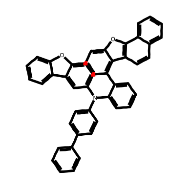 c1ccc(-c2ccc(N(c3ccc4oc5ccccc5c4c3)c3ccccc3-c3cccc4oc5c6ccccc6ccc5c34)cc2)cc1